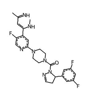 CN/C(=C\C(C)=N)c1cc(N2CCN(C(=O)N3N=CCC3c3cc(F)cc(F)c3)CC2)ncc1F